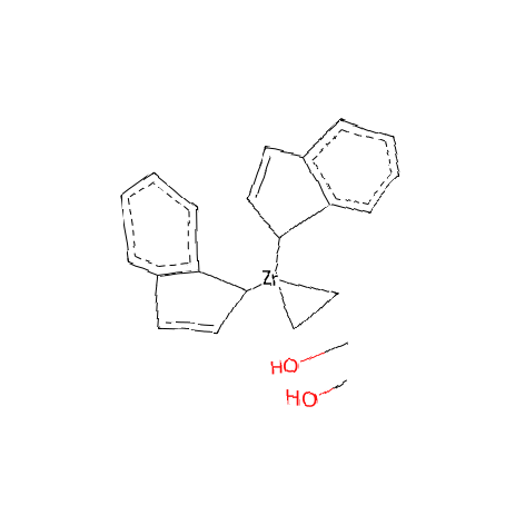 C1=C[CH]([Zr]2([CH]3C=Cc4ccccc43)[CH2][CH2]2)c2ccccc21.CO.CO